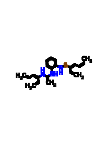 C=C/C=C(\C=C)NC(=C)Nc1ccccc1NS/C(C=C)=C/C=C\C